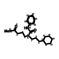 CNC(=O)CCCN(CCCC1CCCCC1)C(=O)Nc1ccccc1